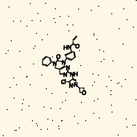 C=CC(=O)Nc1cccc(N2C(=O)N(c3ccccc3)Cc3cnc(Nc4cn(C5COC5)nc4Cl)nc32)c1